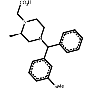 CSc1cccc(C(c2ccccc2)N2CCN(CC(=O)O)[C@H](C)C2)c1